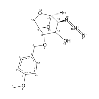 COc1ccc(CO[C@@H]2C3CO[C@H](O3)[C@@H](N=[N+]=[N-])C2O)cc1